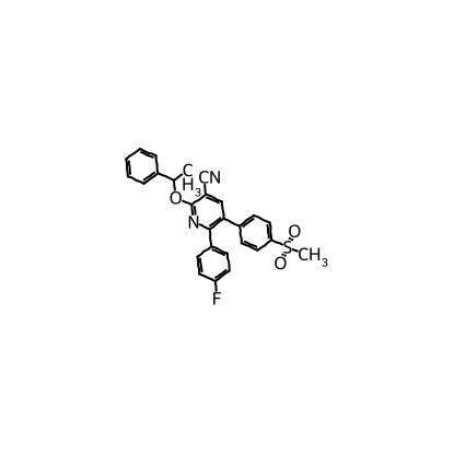 CC(Oc1nc(-c2ccc(F)cc2)c(-c2ccc(S(C)(=O)=O)cc2)cc1C#N)c1ccccc1